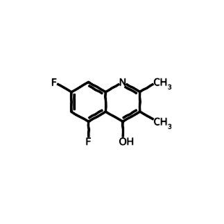 Cc1nc2cc(F)cc(F)c2c(O)c1C